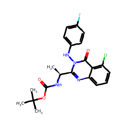 C[C@H](NC(=O)OC(C)(C)C)c1nc2cccc(Cl)c2c(=O)n1Nc1ccc(F)cc1